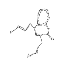 O=c1nc2ccccc2c(CC=CF)nc1CC=CF